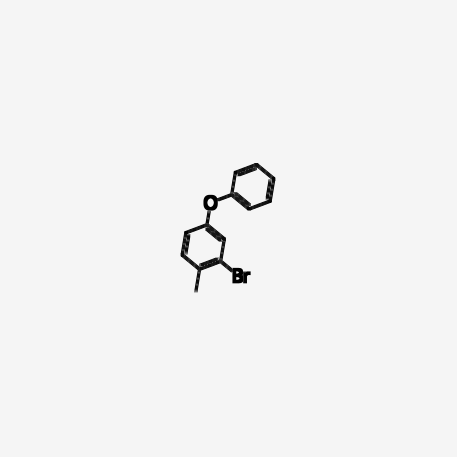 Cc1ccc(Oc2ccccc2)cc1Br